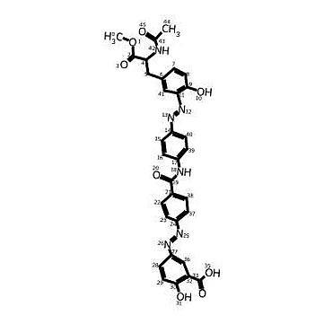 COC(=O)C(Cc1ccc(O)c(N=Nc2ccc(NC(=O)c3ccc(N=Nc4ccc(O)c(C(=O)O)c4)cc3)cc2)c1)NC(C)=O